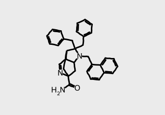 NC(=O)C12CC3C(C=N1)C(C2)C(Cc1ccccc1)(Cc1ccccc1)N3Cc1cccc2ccccc12